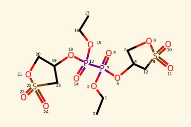 CCOP(=O)(OC1COS(=O)(=O)C1)P(=O)(OCC)OC1COS(=O)(=O)C1